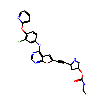 CCNC(=O)OC1CNC(C#Cc2cc3c(Nc4ccc(Oc5ccccn5)c(Cl)c4)ncnc3s2)C1